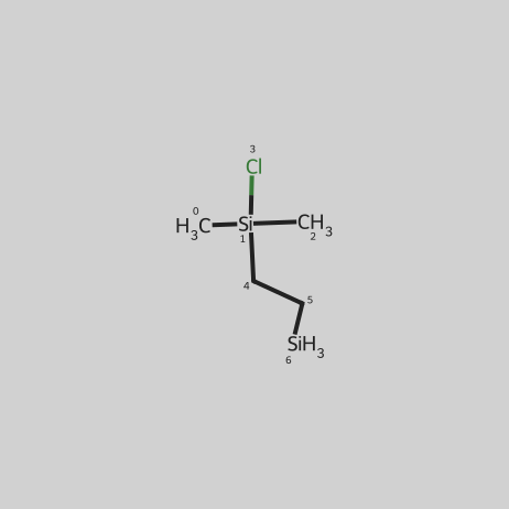 C[Si](C)(Cl)CC[SiH3]